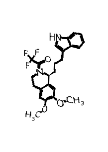 COc1cc2c(cc1OC)[C@H](CCCc1c[nH]c3ccccc13)N(C(=O)C(F)(F)F)CC2